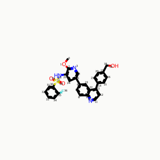 COc1ncc(-c2ccc3nccc(-c4ccc(CO)cc4)c3c2)cc1NS(=O)(=O)c1ccccc1F